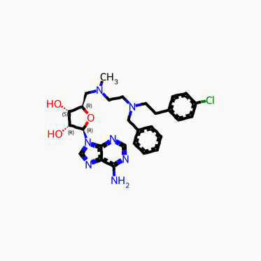 CN(CCN(CCc1ccc(Cl)cc1)Cc1ccccc1)C[C@H]1O[C@@H](n2cnc3c(N)ncnc32)[C@H](O)[C@@H]1O